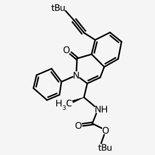 C[C@H](NC(=O)OC(C)(C)C)c1cc2cccc(C#CC(C)(C)C)c2c(=O)n1-c1ccccc1